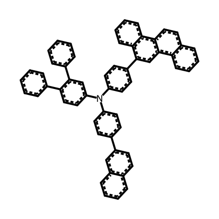 c1ccc(-c2ccc(N(c3ccc(-c4ccc5ccccc5c4)cc3)c3ccc(-c4cc5c6ccccc6ccc5c5ccccc45)cc3)cc2-c2ccccc2)cc1